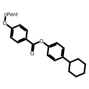 CCCCCOc1ccc(C(=O)Oc2ccc(C3CC[CH]CC3)cc2)cc1